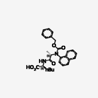 CCCC[C@H](NC(=O)[C@H](C)N(C(=O)OCc1ccccc1)c1cccc2ccccc12)C(=O)O